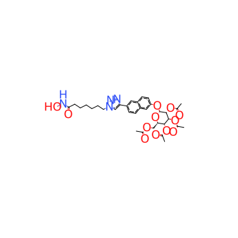 CC(=O)OC[C@H]1O[C@@H](Oc2ccc3cc(-c4cn(CCCCCCC(=O)NO)nn4)ccc3c2)[C@H](OC(C)=O)[C@@H](OC(C)=O)[C@@H]1OC(C)=O